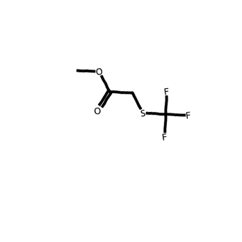 COC(=O)CSC(F)(F)F